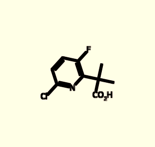 CC(C)(C(=O)O)c1nc(Cl)ccc1F